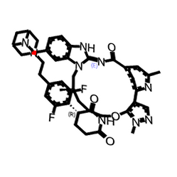 Cc1cc2cc(n1)-c1cnn(C)c1OCCC[C@@H](C)CN1/C(=N/C2=O)Nc2ccc(CN3C4CC3CN(CCc3cc(F)c([C@H]5CCC(=O)NC5=O)c(F)c3)C4)cc21